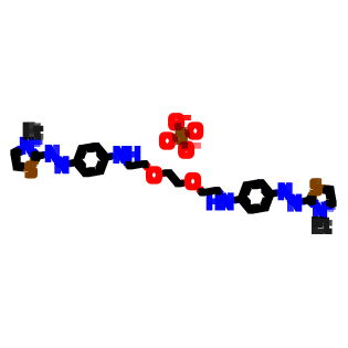 CC[n+]1ccsc1/N=N/c1ccc(NCCOCCOCCNc2ccc(/N=N/c3scc[n+]3CC)cc2)cc1.O=S(=O)([O-])[O-]